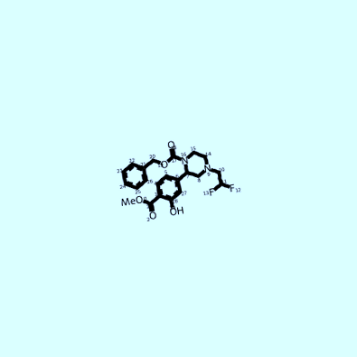 COC(=O)c1ccc(C2CN(CC(F)F)CCN2C(=O)OCc2ccccc2)cc1O